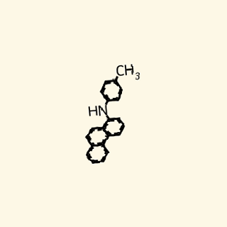 Cc1ccc(Nc2cccc3c2ccc2ccccc23)cc1